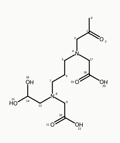 CC(=O)CN(CCCN(CC(=O)O)CC(O)O)CC(=O)O